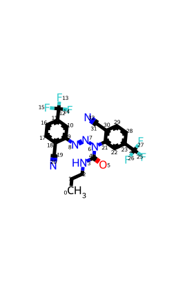 CCCNC(=O)N(/N=N/c1cc(C(F)(F)F)ccc1C#N)c1cc(C(F)(F)F)ccc1C#N